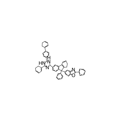 C1=CCCC(C2=NC(c3ccc4c(c3)C3=C(CCC=C3)C4(c3ccccc3)c3ccc4oc(-c5ccccc5)nc4c3)NC(c3ccc(C4=CC=CCC4)cc3)N2)=C1